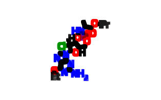 CCOc1nc(N)nc2c1ncn2[C@@H]1O[C@@H]2COP(=O)(NC(C)C(=O)OC(C)C)O[C@H]2[C@@]1(C)Cl